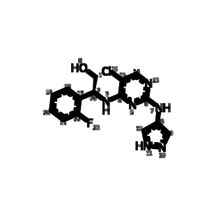 OC[C@@H](Nc1nc(Nc2cn[nH]c2)ncc1Cl)c1ccccc1F